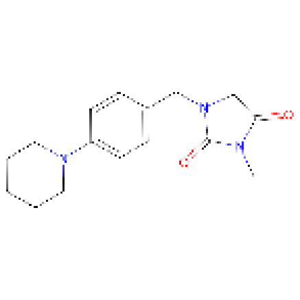 CN1C(=O)CN(Cc2ccc(N3CCCCC3)cc2)C1=O